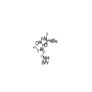 CCCNCCN1CCO[C@@H](CN(C)C(=O)C(C)(C)C)C1